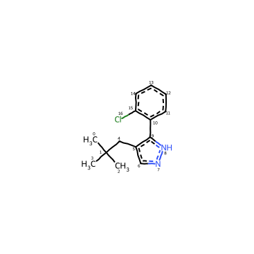 CC(C)(C)Cc1cn[nH]c1-c1ccccc1Cl